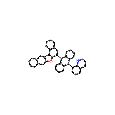 c1ccc2cc3c(cc2c1)oc1c(-c2c4ccccc4c(-c4cccc5cccnc45)c4ccccc24)cc2ccccc2c13